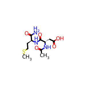 CSCC[C@H](NC(=O)[C@H](CC(=O)O)NC(C)=O)C(N)=O